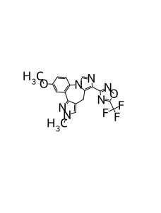 COc1ccc2c(c1)-c1nn(C)cc1Cc1c(-c3noc(C(F)(F)F)n3)ncn1-2